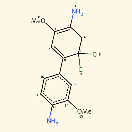 COC1=C(N)CC(Cl)(Cl)C(c2ccc(N)c(OC)c2)=C1